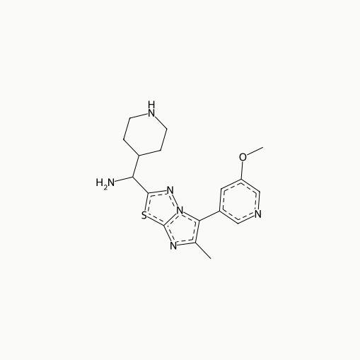 COc1cncc(-c2c(C)nc3sc(C(N)C4CCNCC4)nn23)c1